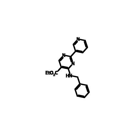 CCOC(=O)c1cnc(-c2cccnc2)nc1NCc1ccccc1